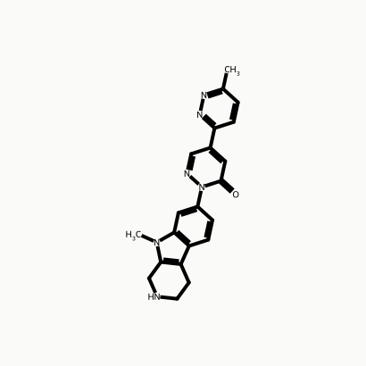 Cc1ccc(-c2cnn(-c3ccc4c5c(n(C)c4c3)CNCC5)c(=O)c2)nn1